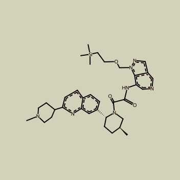 C[C@H]1CC[C@H](c2ccc3ccc(C4CCN(C)CC4)nc3c2)N(C(=O)C(=O)Nc2cncc3cnn(COCC[Si](C)(C)C)c23)C1